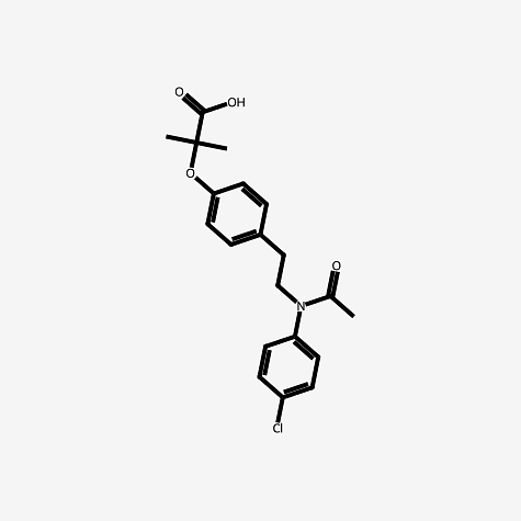 CC(=O)N(CCc1ccc(OC(C)(C)C(=O)O)cc1)c1ccc(Cl)cc1